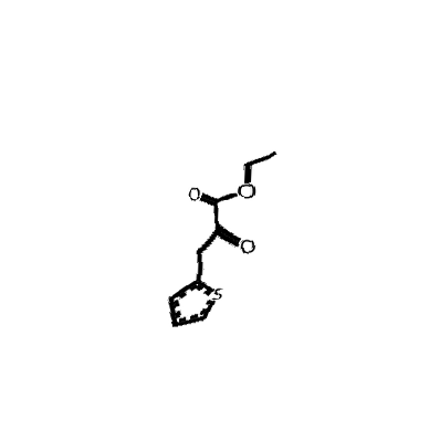 CCOC(=O)C(=O)Cc1cccs1